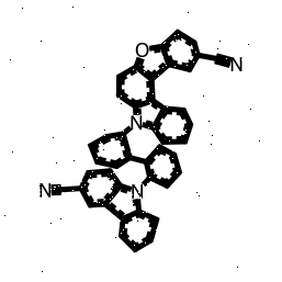 N#Cc1ccc2oc3ccc4c(c5ccccc5n4-c4ccccc4-c4ccccc4-n4c5ccccc5c5cc(C#N)ccc54)c3c2c1